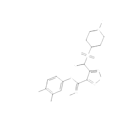 CC(=O)N1CCC(S(=O)(=O)C(N)c2nonc2/C(=N/O)Nc2ccc(F)c(Cl)c2)CC1